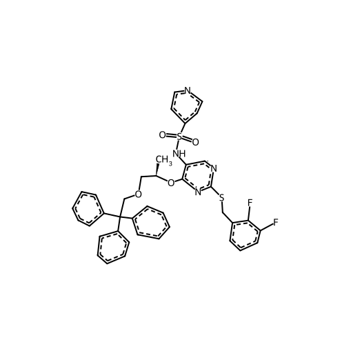 C[C@H](COCC(c1ccccc1)(c1ccccc1)c1ccccc1)Oc1nc(SCc2cccc(F)c2F)n[c]c1NS(=O)(=O)c1ccncc1